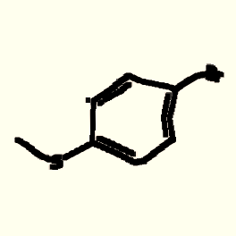 CSc1[c]cc(Br)cc1